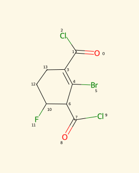 O=C(Cl)C1=C(Br)C(C(=O)Cl)C(F)CC1